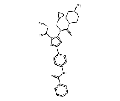 COC(=O)c1sc(-c2ccc(NC(=O)c3ccccn3)cc2)cc1N(CC1CC1)C(=O)C1CCC(C)CC1